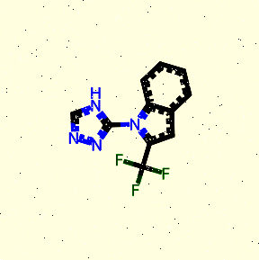 FC(F)(F)c1cc2ccccc2n1-c1nnc[nH]1